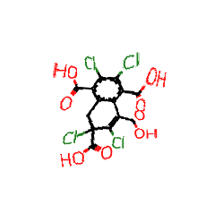 O=C(O)C1=C(Cl)C(Cl)(C(=O)O)Cc2c(C(=O)O)c(Cl)c(Cl)c(C(=O)O)c21